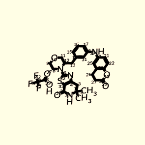 CC1(C)Cc2nc(N3CCOCC3Cc3cccc(Nc4ccc5c(c4)CCC(=O)O5)c3)sc2C(=O)N1.O=C(O)C(F)(F)F